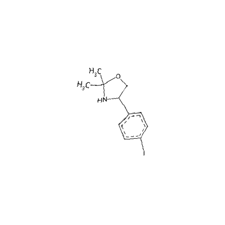 CC1(C)NC(c2ccc(I)cc2)CO1